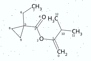 C=C(OC(=O)C1(CC)CC1)C(C)C